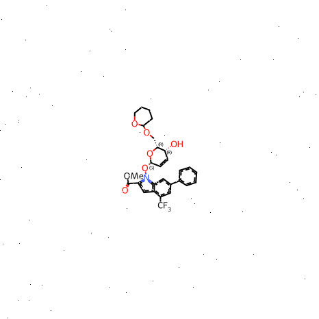 COC(=O)c1cc2c(C(F)(F)F)cc(-c3ccccc3)cc2n1O[C@H]1C=C[C@@H](O)[C@@H](COC2CCCCO2)O1